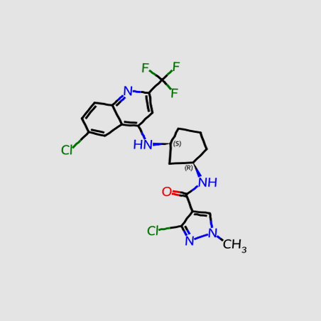 Cn1cc(C(=O)N[C@@H]2CCC[C@H](Nc3cc(C(F)(F)F)nc4ccc(Cl)cc34)C2)c(Cl)n1